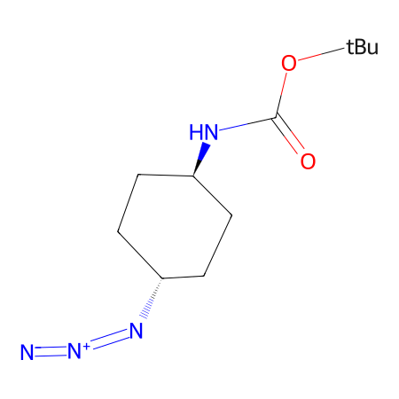 CC(C)(C)OC(=O)N[C@H]1CC[C@H](N=[N+]=[N-])CC1